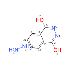 NN.Oc1nnc(O)c2ccccc12